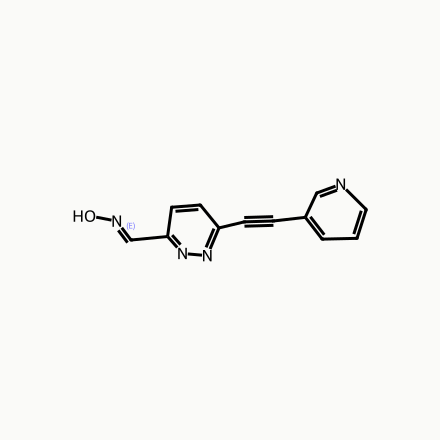 O/N=C/c1ccc(C#Cc2cccnc2)nn1